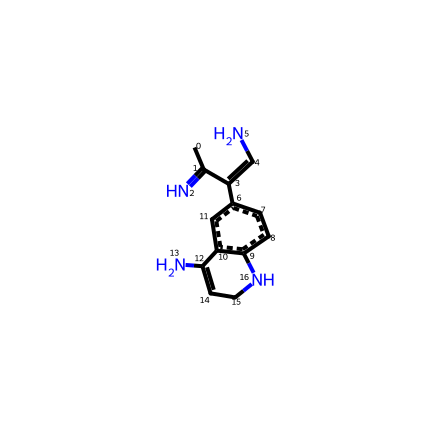 CC(=N)/C(=C\N)c1ccc2c(c1)C(N)=CCN2